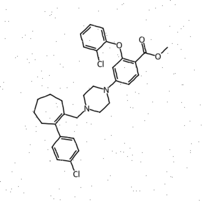 COC(=O)c1ccc(N2CCN(CC3=C(c4ccc(Cl)cc4)CCCCC3)CC2)cc1Oc1ccccc1Cl